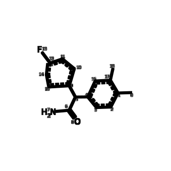 Cc1ccc(C(C(N)=O)c2ccc(F)cc2)cc1C